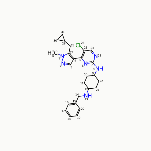 Cn1ncc(-c2nc(NC3CCC(NCc4ccccc4)CC3)ncc2Cl)c1CC1CC1